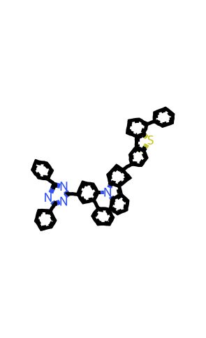 c1ccc(-c2nc(-c3ccccc3)nc(-c3ccc(-n4c5ccccc5c5cc(-c6ccc7sc8c(-c9ccccc9)cccc8c7c6)ccc54)c(-c4ccccc4)c3)n2)cc1